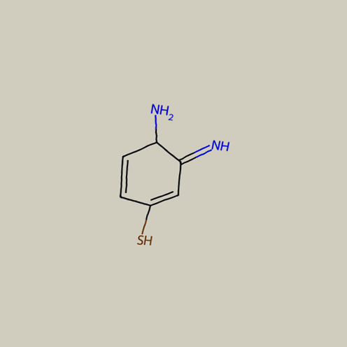 N=C1C=C(S)C=CC1N